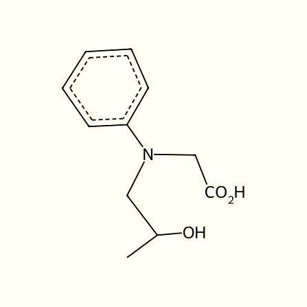 CC(O)CN(CC(=O)O)c1ccccc1